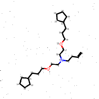 C=CCCN(CCOCCCC1CCCC1)CCOCCCC1CCCC1